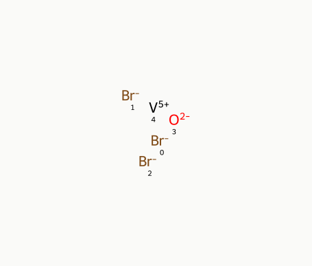 [Br-].[Br-].[Br-].[O-2].[V+5]